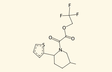 CC1CCC(c2cccs2)N(C(=O)C(=O)OCC(F)(F)F)C1